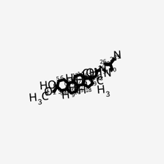 COC[C@@]1(O)CC[C@H]2[C@H](CC[C@@H]3[C@@H]2CC[C@@]2(C)[C@H]3CC[C@]2(O)C(C)Cn2cc(C#N)cn2)C1